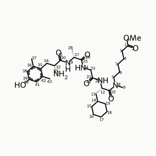 COC(=O)CCCCCN(C)C(=O)[C@H](CC1CCCCC1)NC(=O)CNC(=O)[C@@H](C)NC(=O)[C@H](N)Cc1c(C)cc(O)cc1C